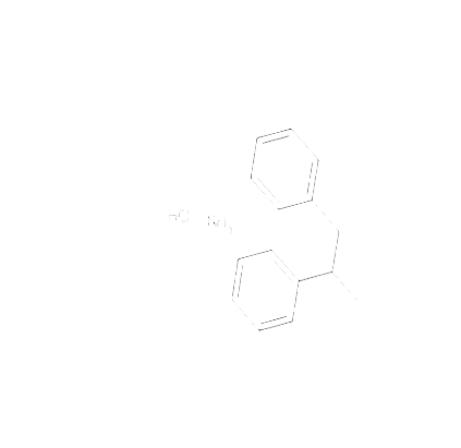 CC(Cc1ccccc1)c1ccccc1.Cl.N